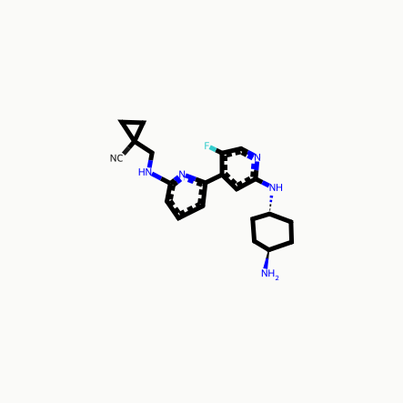 N#CC1(CNc2cccc(-c3cc(N[C@H]4CC[C@H](N)CC4)ncc3F)n2)CC1